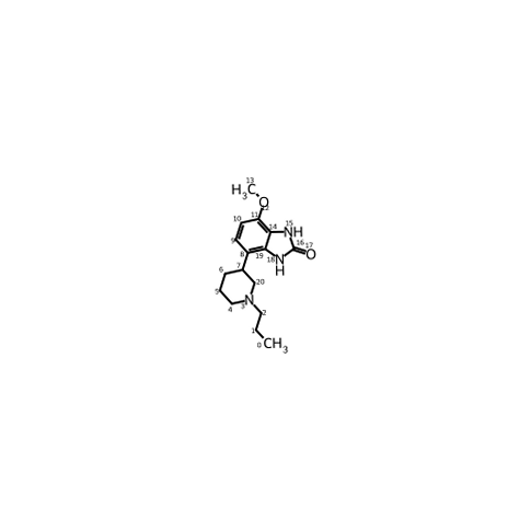 CCCN1CCCC(c2ccc(OC)c3[nH]c(=O)[nH]c23)C1